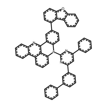 c1ccc(-c2cccc(-c3cc(-c4ccccc4)nc(N4c5ccc(-c6cccc7oc8ccccc8c67)cc5-c5nc6ccccc6c6cccc4c56)n3)c2)cc1